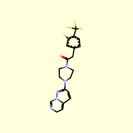 O=C(Cc1ccc(C(F)(F)F)c(F)c1)N1CCN(C2=NN3C=NCC=C3C=C2)CC1